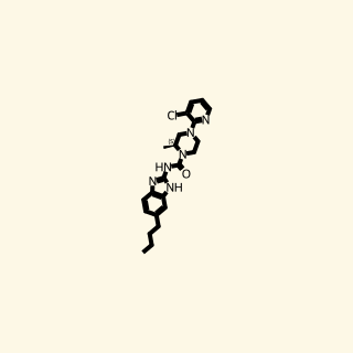 CCCCc1ccc2nc(NC(=O)N3CCN(c4ncccc4Cl)C[C@@H]3C)[nH]c2c1